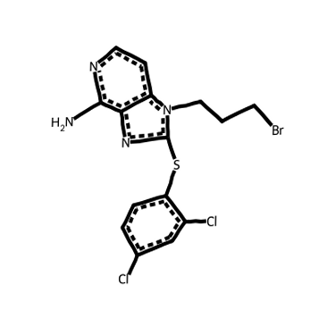 Nc1nccc2c1nc(Sc1ccc(Cl)cc1Cl)n2CCCBr